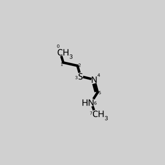 CCCS/N=C\NC